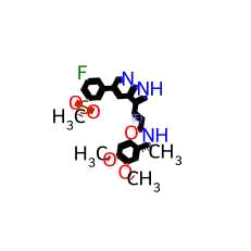 COc1ccc([C@@H](C)NC(=O)/C=C/c2c[nH]c3ncc(-c4cc(F)cc(S(C)(=O)=O)c4)cc23)cc1OC